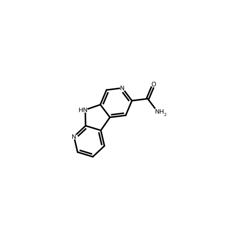 NC(=O)c1cc2c(cn1)[nH]c1ncccc12